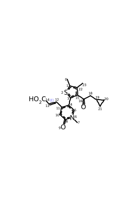 Cc1sc(-c2cn(C)c(=O)cc2/C=C/C(=O)O)c(C(=O)CC2CC2)c1C